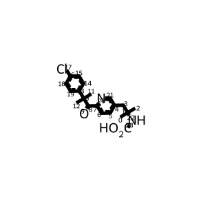 CC(C)(Cc1ccc(C(=O)C(C)(C)c2ccc(Cl)cc2)nc1)NC(=O)O